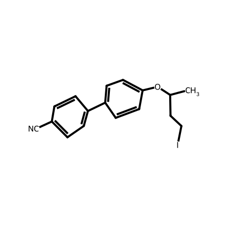 CC(CCI)Oc1ccc(-c2ccc(C#N)cc2)cc1